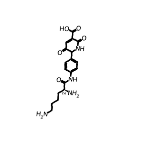 NCCCC[C@H](N)C(=O)Nc1ccc(C2NC(=O)C(C(=O)O)=CC2=O)cc1